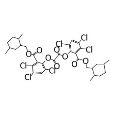 CC1CCC(C)C(COC(=O)c2c(Cl)c(Cl)cc(Cl)c2OC(=O)C(=O)Oc2c(Cl)cc(Cl)c(Cl)c2C(=O)OCC2CC(C)CCC2C)C1